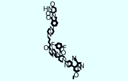 CCOc1cc(-c2ccc(N3CCC(CN4CCN(C(=O)CCCCN5CCN(c6ccc7c(c6)C(=O)N(C6CCC(=O)NC6=O)C7)CC5)CC4)(NC(=O)c4cc(F)ccc4F)CC3)nc2)c2c(C#N)cnn2c1